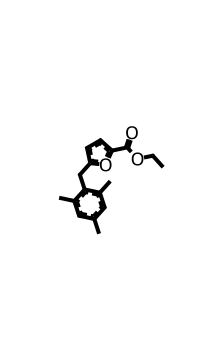 CCOC(=O)c1ccc(Cc2c(C)cc(C)cc2C)o1